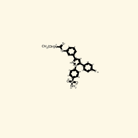 CN(O)C(=S)Sc1cccc(-c2cc(-c3ccc(F)cc3)n(-c3ccc(S(N)(=O)=O)cc3)n2)c1